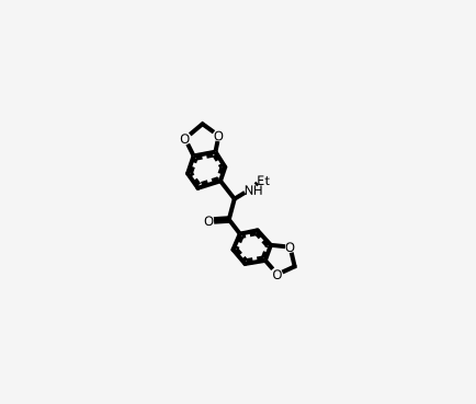 CCNC(C(=O)c1ccc2c(c1)OCO2)c1ccc2c(c1)OCO2